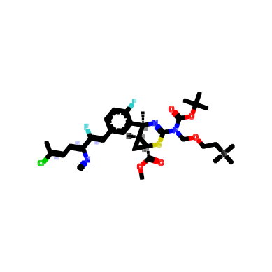 C=NC(=C\C=C(/C)Cl)/C(F)=C/c1ccc(F)c([C@@]2(C)N=C(N(COCC[Si](C)(C)C)C(=O)OC(C)(C)C)S[C@@]3(C(=O)OC)C[C@H]32)c1